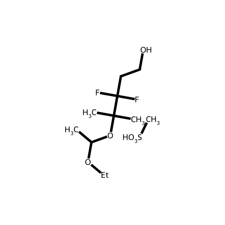 CCOC(C)OC(C)(C)C(F)(F)CCO.CS(=O)(=O)O